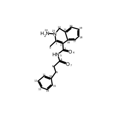 CC1=C(C(=O)NC(=O)CCc2ccccc2)c2ccccc2CN1N